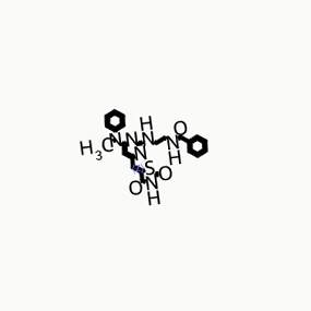 CN(c1ccccc1)c1cc(/C=C2\SC(=O)NC2=O)nc(NCCNC(=O)c2ccccc2)n1